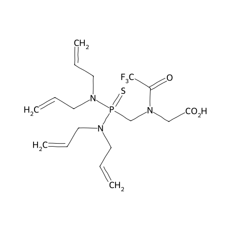 C=CCN(CC=C)P(=S)(CN(CC(=O)O)C(=O)C(F)(F)F)N(CC=C)CC=C